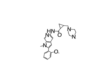 COc1ccccc1-c1cc2cc(NC(=O)C3CC3CN3CCN(C)CC3)ncc2n1C